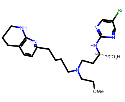 COCCN(CCCCc1ccc2c(n1)NCCC2)CC[C@H](Nc1ncc(Br)cn1)C(=O)O